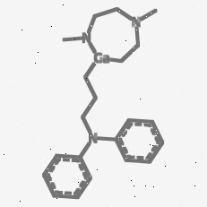 CN1CC[N](C)[Ga]([CH2]CCN(c2ccccc2)c2ccccc2)[CH2]C1